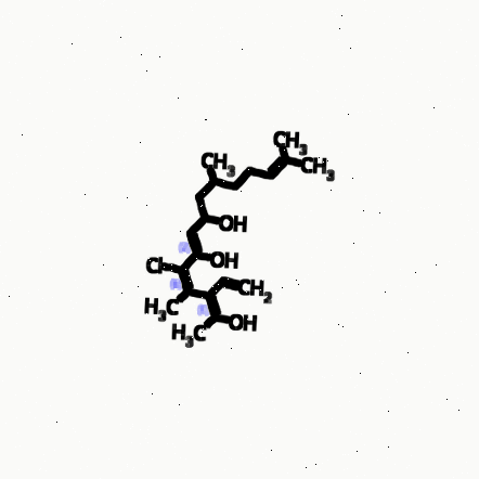 C=CC(=C(/C)O)/C(C)=C(Cl)\C(O)=C\C(O)CC(C)CCC=C(C)C